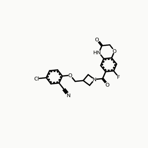 N#Cc1cc(Cl)ccc1OCC1CN(C(=O)c2cc3c(cc2F)OCC(=O)N3)C1